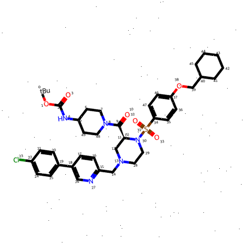 CC(C)(C)OC(=O)NC1CCN(C(=O)[C@@H]2CN(Cc3ccc(-c4ccc(Cl)cc4)cn3)CCN2S(=O)(=O)c2ccc(OCC3CCCCC3)cc2)CC1